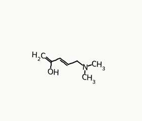 C=C(O)/C=C/CN(C)C